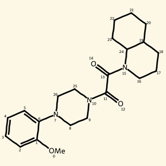 COc1ccccc1N1CCN(C(=O)C(=O)N2CCCC3CCCCC32)CC1